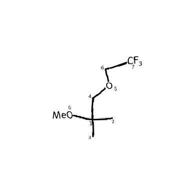 COC(C)(C)CO[CH]C(F)(F)F